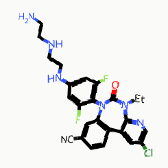 CCN1C(=O)N(c2c(F)cc(NCCNCCN)cc2F)c2cc(C#N)ccc2-c2cc(Cl)cnc21